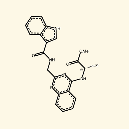 COC(=O)[C@@H](Nc1nc(CNC(=O)c2c[nH]c3ccccc23)nc2ccccc12)C(C)C